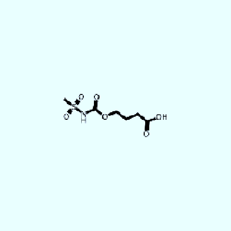 CS(=O)(=O)NC(=O)OCCCC(=O)O